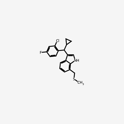 CSCc1cccc2c(C(c3ccc(F)cc3Cl)C3CC3)c[nH]c12